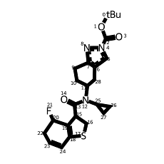 CC(C)(C)OC(=O)n1cc2c(n1)CCC(N(C(=O)C1CSC3=C1C(F)CC=C3)C1CC1)C2